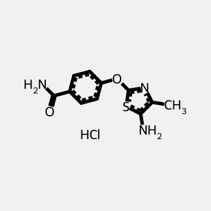 Cc1nc(Oc2ccc(C(N)=O)cc2)sc1N.Cl